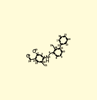 COc1cc(NCc2cccc(-c3ccccc3)c2C)c(C)cc1C=O